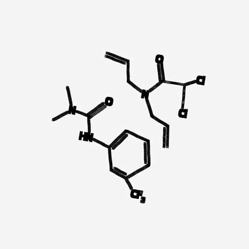 C=CCN(CC=C)C(=O)C(Cl)Cl.CN(C)C(=O)Nc1cccc(C(F)(F)F)c1